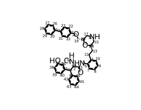 O=C(O)N[C@H](C(=O)Nc1ccccc1CC[C@@H]1CNC[C@@H](COc2ccc(-c3ccccc3)cc2)O1)C(c1ccccc1)c1ccccc1